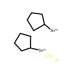 [S-2].[S-2].[S-2].[Sn+3][CH]1CCCC1.[Sn+3][CH]1CCCC1